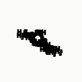 CC(C)COC(=O)N[C@H]1CCC(O)C(O)CCCC(C(=O)C(=O)NCC(=O)N[C@@H](C)C(=O)OC(C)(C)C)NC(=O)[C@@H]2CCCN2C1=O